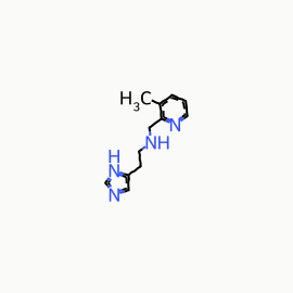 Cc1cccnc1CNCCc1cnc[nH]1